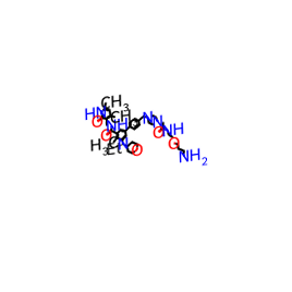 CCN(c1cc(-c2ccc(CN3CCN(CC(=O)NCCOCCCN)CC3)cc2)cc(C(=O)NCc2c(C)cc(C)[nH]c2=O)c1C)C1CCOCC1